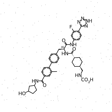 Cc1cc(C(=O)NC2CCC(O)C2)ccc1-c1ccc(C[C@H](NC(=O)[C@H]2CC[C@H](CNC(=O)O)CC2)C(=O)Nc2ccc(-c3nn[nH]n3)c(F)c2)cc1